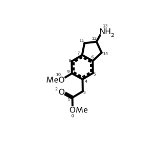 COC(=O)Cc1cc2c(cc1OC)CC(N)C2